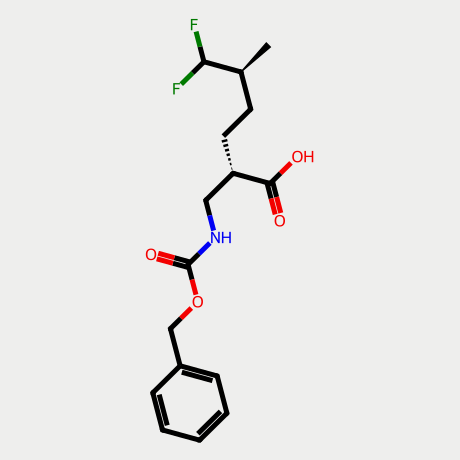 C[C@@H](CC[C@@H](CNC(=O)OCc1ccccc1)C(=O)O)C(F)F